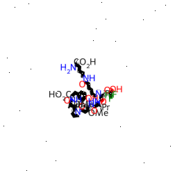 CC[C@H](C)[C@@H]([C@@H](CC(=O)N1CCC[C@H]1[C@H](OC)[C@@H](C)C(=O)N[C@@H](Cc1ccc(O)cc1)C(=O)O)OC)N(C)C(=O)[C@@H](NC(=O)[C@H](C(C)C)N(C)CCCCCC(=O)NCCCC[C@H](N)C(=O)O)C(C)C.O=C(O)C(F)(F)F